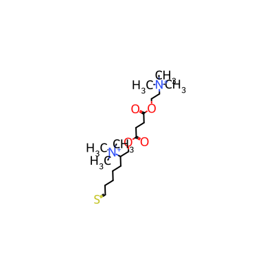 C[N+](C)(C)CCOC(=O)CCC(=O)OCC(CCCCC=S)[N+](C)(C)C